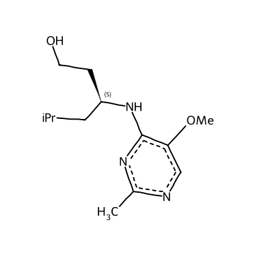 COc1cnc(C)nc1N[C@H](CCO)CC(C)C